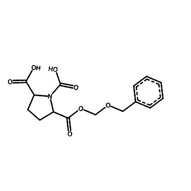 O=C(O)C1CCC(C(=O)OCOCc2ccccc2)N1C(=O)O